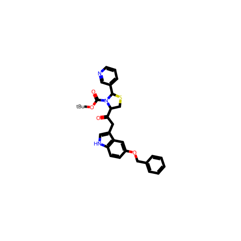 CC(C)(C)OC(=O)N1C(C(=O)Cc2c[nH]c3ccc(OCc4ccccc4)cc23)CSC1c1cccnc1